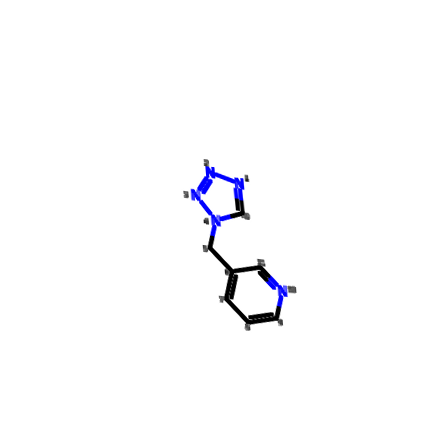 [c]1nnnn1Cc1cccnc1